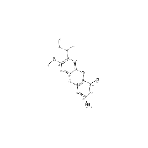 CCC(C)c1cc(Oc2c(Cl)cc(N)cc2Cl)ccc1OC